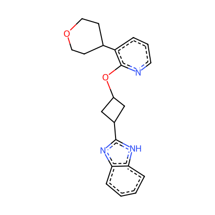 c1cnc(OC2CC(c3nc4ccccc4[nH]3)C2)c(C2CCOCC2)c1